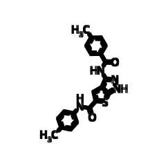 Cc1ccc(NC(=O)c2cc3c(NC(=O)c4ccc(C)cc4)n[nH]c3s2)cc1